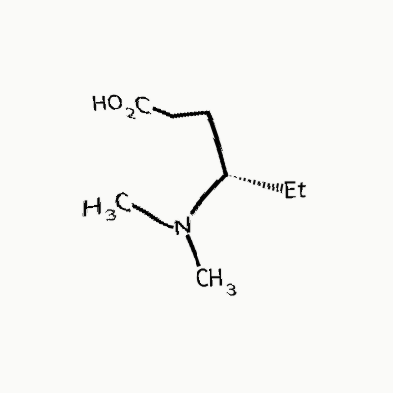 CC[C@@H](CC(=O)O)N(C)C